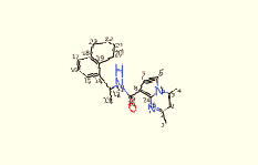 Cc1cc(C)n2ccc(C(=O)NC(C)c3cccc4c3CCCC4)c2n1